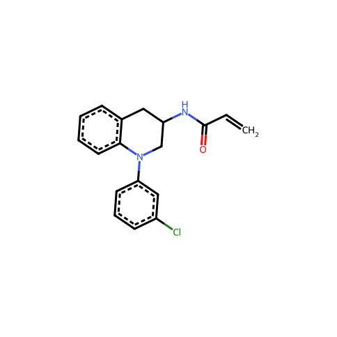 C=CC(=O)NC1Cc2ccccc2N(c2cccc(Cl)c2)C1